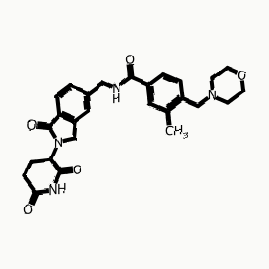 Cc1cc(C(=O)NCc2ccc3c(c2)CN(C2CCC(=O)NC2=O)C3=O)ccc1CN1CCOCC1